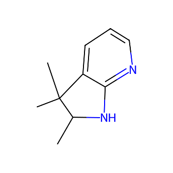 CC1Nc2ncccc2C1(C)C